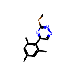 CSc1nncc(-c2c(C)cc(C)cc2C)n1